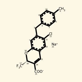 Cc1ccc(Cc2cc3c(cc2Cl)C=C(C(=O)[O-])[C@H](C(F)(F)F)O3)cc1.[Na+]